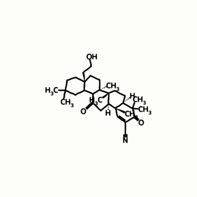 CC1(C)CC[C@]2(CCO)CC[C@]3(C)C(C(=O)C[C@@H]4[C@@]5(C)C=C(C#N)C(=O)C(C)(C)[C@@H]5CC[C@]43C)C2C1